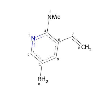 Bc1cnc(NC)c(C=C)c1